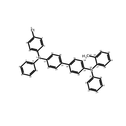 CCc1ccc(N(c2ccccc2)c2ccc(-c3ccc(N(c4ccccc4)c4ccccc4C)cc3)cc2)cc1